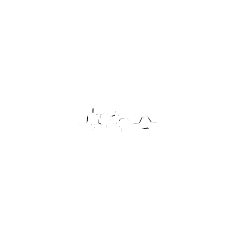 Cn1c(CF)cc(=O)n(Cc2nc(C[C@H](O)c3ccc(Cl)cc3)no2)c1=O